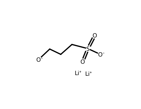 O=S(=O)([O-])CCC[O-].[Li+].[Li+]